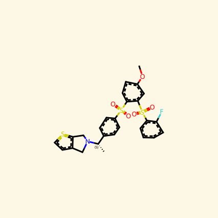 COc1ccc(S(=O)(=O)c2ccc([C@H](C)N3Cc4ccsc4C3)cc2)c(S(=O)(=O)c2ccccc2F)c1